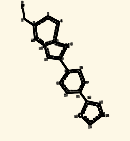 FCc1ccc2nc(-c3ccc(-c4cnco4)cc3)cn2c1